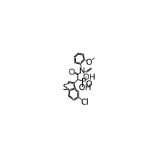 C=CN(C(=O)C(c1csc2ccc(Cl)cc12)P(=O)(O)O)c1ccccc1OC